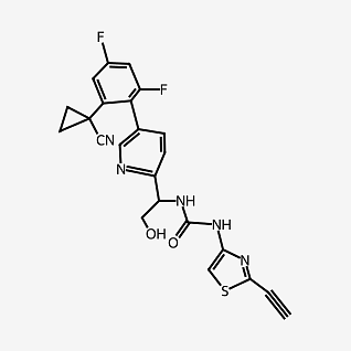 C#Cc1nc(NC(=O)NC(CO)c2ccc(-c3c(F)cc(F)cc3C3(C#N)CC3)cn2)cs1